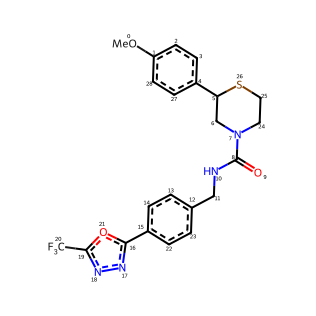 COc1ccc(C2CN(C(=O)NCc3ccc(-c4nnc(C(F)(F)F)o4)cc3)CCS2)cc1